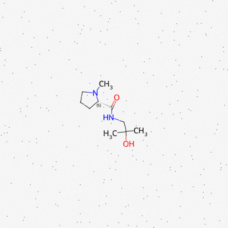 CN1CCC[C@H]1C(=O)NCC(C)(C)O